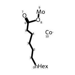 CCCCCCCCCCCC(=O)[O][Mo].[Co]